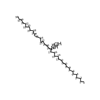 CCCCCCCCCCCCCCCCCCC(CCCCCCCCCCCCCCCCCC)NC.Cl